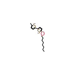 CCCCCCCCOc1ccc(-c2ccc(C)s2)s1